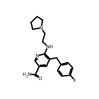 NC(=O)c1cnc(NCCN2CCCC2)c(Cc2ccc(F)cc2)c1